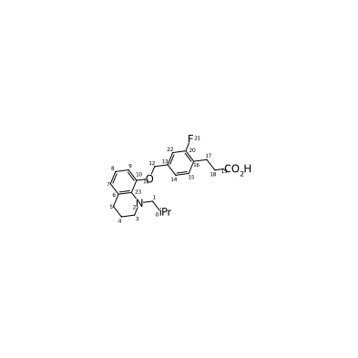 CC(C)CN1CCCc2cccc(OCc3ccc(CCC(=O)O)c(F)c3)c21